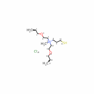 C=CCOCC[N+](C)(CCCS)CCOCC=C.[Cl-]